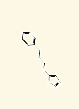 [c]1ncc(OCCCc2ccccc2)s1